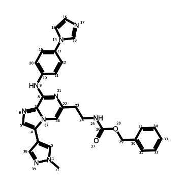 Cn1cc(-c2cnc3c(Nc4ccc(-n5ccnc5)cc4)nc(CCNC(=O)OCc4ccccc4)cn23)cn1